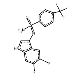 NS(=O)(=Nc1c[nH]c2cc(F)c(F)cc12)c1ccc(C(F)(F)F)cc1